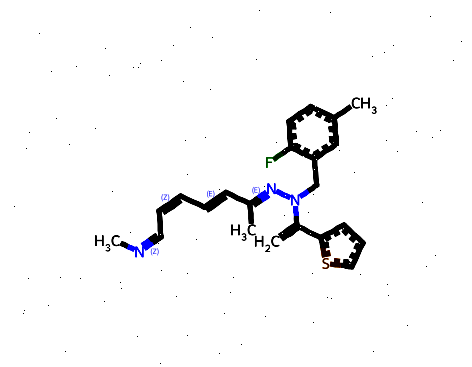 C=C(c1cccs1)N(Cc1cc(C)ccc1F)/N=C(C)/C=C/C=C\C=N/C